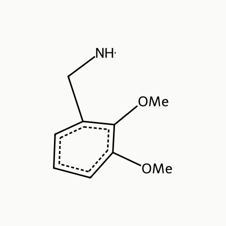 COc1cccc(C[NH])c1OC